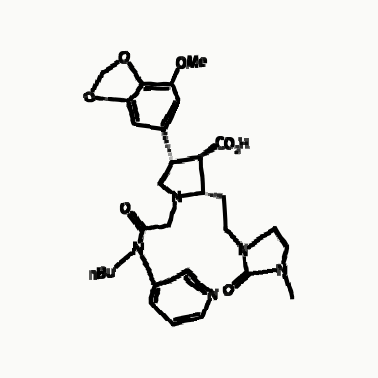 CCCCN(C(=O)CN1C[C@H](c2cc(OC)c3c(c2)OCO3)[C@@H](C(=O)O)[C@@H]1CCN1CCN(C)C1=O)c1cccnc1